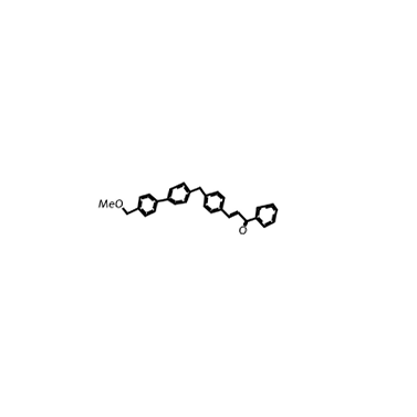 COCc1ccc(-c2ccc(Cc3ccc(/C=C/C(=O)c4ccccc4)cc3)cc2)cc1